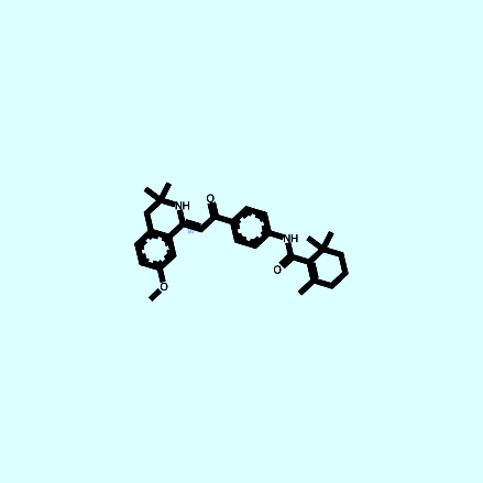 COc1ccc2c(c1)/C(=C/C(=O)c1ccc(NC(=O)C3=C(C)CCCC3(C)C)cc1)NC(C)(C)C2